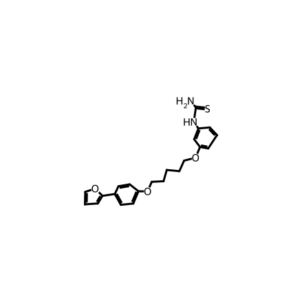 NC(=S)Nc1cccc(OCCCCCOc2ccc(-c3ccco3)cc2)c1